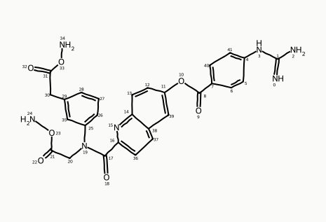 N=C(N)Nc1ccc(C(=O)Oc2ccc3nc(C(=O)N(CC(=O)ON)c4cccc(CC(=O)ON)c4)ccc3c2)cc1